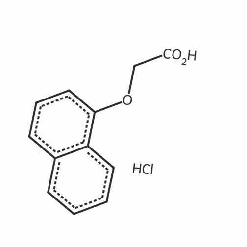 Cl.O=C(O)COc1cccc2ccccc12